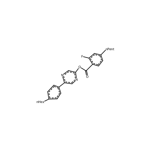 CCCCCCc1ccc(-c2cnc(OC(=O)c3ccc(CCCCC)cc3F)cn2)cc1